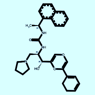 C[C@H](NC(=O)N[C@H](CN1CCCC1)[C@@H](O)C1=COC=C(C2=CC=CCC2)O1)c1cccc2ccccc12